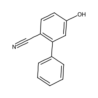 N#Cc1ccc(O)cc1-c1ccccc1